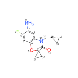 Nc1cc2c(cc1F)OC1(CC1)C(=O)N2CC1CC1